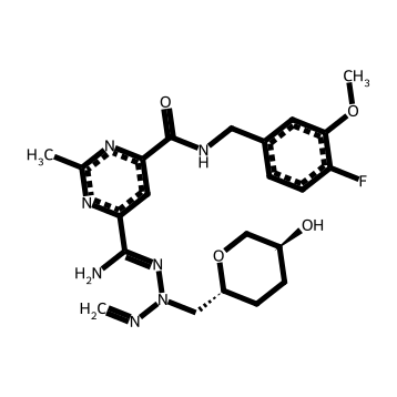 C=NN(C[C@H]1CC[C@H](O)CO1)/N=C(\N)c1cc(C(=O)NCc2ccc(F)c(OC)c2)nc(C)n1